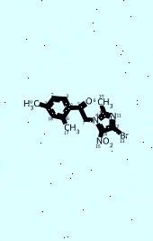 Cc1ccc(C(=O)Cn2c(C)nc(Br)c2[N+](=O)[O-])c(C)c1